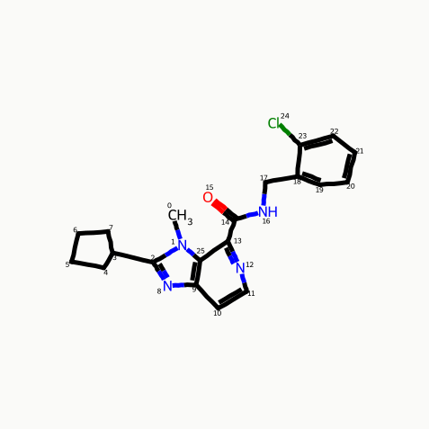 Cn1c(C2CCCC2)nc2ccnc(C(=O)NCc3ccccc3Cl)c21